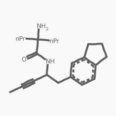 CC#CC(Cc1ccc2c(c1)CCC2)NC(=O)C(N)(CCC)CCC